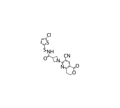 N#Cc1cc2c(nc1N1CC(C(=O)NSc3ccc(Cl)s3)C1)CCOC2=O